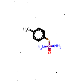 Cc1ccc(SP(N)(N)=O)cc1